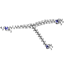 CN(C)CCCCCCCCCCCCCCCCCC(CCCCCCCCCCCCCCCCCN(C)C)CCCCCCCCCCCCCCCCCN(C)C